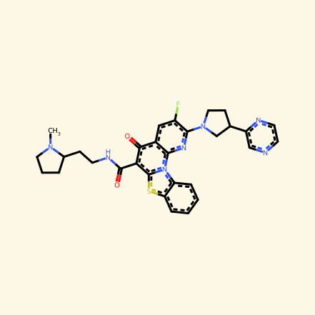 CN1CCCC1CCNC(=O)c1c(=O)c2cc(F)c(N3CCC(c4cnccn4)C3)nc2n2c1sc1ccccc12